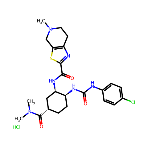 CN1CCc2nc(C(=O)N[C@@H]3C[C@@H](C(=O)N(C)C)CC[C@@H]3NC(=O)Nc3ccc(Cl)cc3)sc2C1.Cl